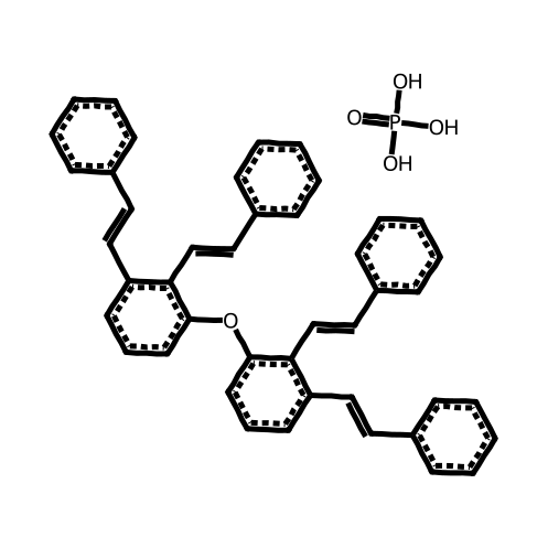 C(=Cc1cccc(Oc2cccc(C=Cc3ccccc3)c2C=Cc2ccccc2)c1C=Cc1ccccc1)c1ccccc1.O=P(O)(O)O